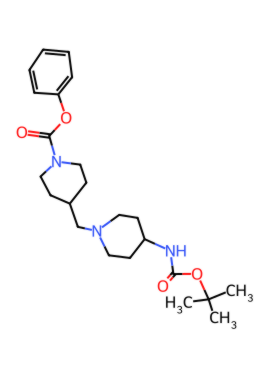 CC(C)(C)OC(=O)NC1CCN(CC2CCN(C(=O)Oc3ccccc3)CC2)CC1